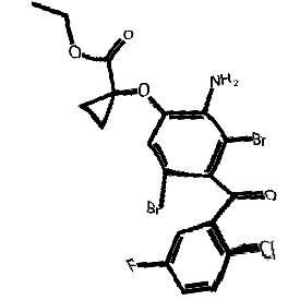 CCOC(=O)C1(Oc2cc(Br)c(C(=O)c3cc(F)ccc3Cl)c(Br)c2N)CC1